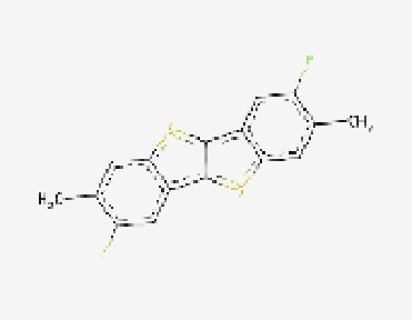 Cc1cc2sc3c4cc(F)c(C)cc4sc3c2cc1F